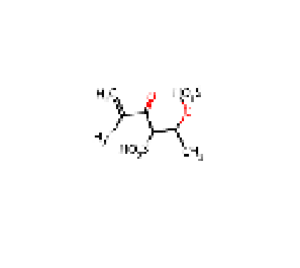 C=C(C)C(=O)C(C(C)OS(=O)(=O)O)S(=O)(=O)O